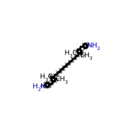 Cc1cc(Cc2ccc(N)cc2)cc(C)c1CCCCCCCCCCCCCCCCc1c(C)cc(Cc2ccc(N)cc2)cc1C